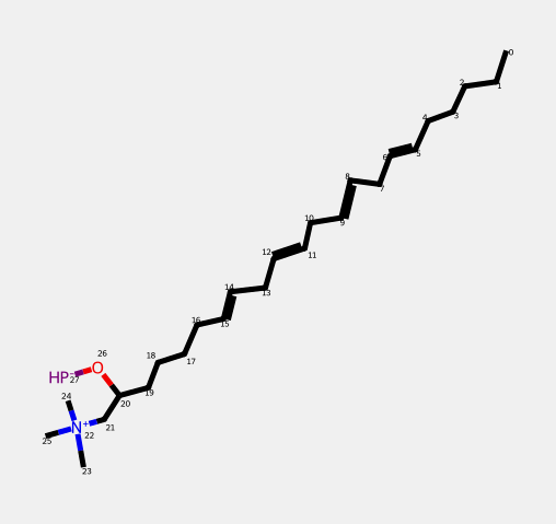 CCCCCC=CCC=CCC=CCC=CCCCCC(C[N+](C)(C)C)O[PH-]